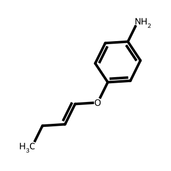 CC/C=C/Oc1ccc(N)cc1